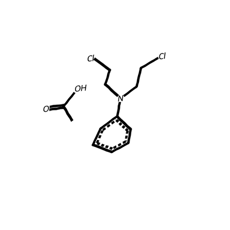 CC(=O)O.ClCCN(CCCl)c1ccccc1